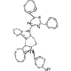 CCCc1ccc(-n2c3c(c4ccccc42)-c2c(n(-c4nc(-c5ccccc5)nc(-c5ccccc5)n4)c4ccccc24)CC3)cc1